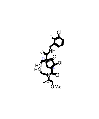 COC[C@@H](C)N1CNN/C=C(/C(=O)NCc2cccc(Cl)c2F)C(=O)/C(O)=C(\CCC(C)C)C1=O